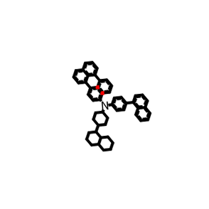 c1ccc(-c2cccc3cccc(-c4ccc(N(c5ccc(-c6cccc7ccccc67)cc5)C5CCC(C6CCCC7CCCCC76)CC5)cc4)c23)cc1